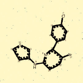 Clc1ccc(-c2nc(Nc3ccsc3)ccc2Br)cc1